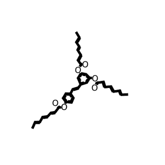 CC=CC=CC=CC(=O)Oc1ccc(C=Cc2cc(OC(=O)C=CC=CC=CC)cc(OC(=O)C=CC=CC=CC)c2)cc1